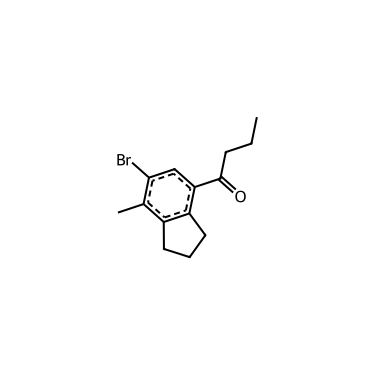 CCCC(=O)c1cc(Br)c(C)c2c1CCC2